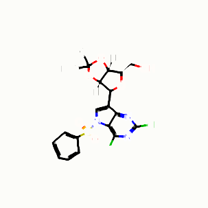 CC1(C)O[C@@H]2[C@@H](CO)OC(c3cn(S(=O)(=O)c4ccccc4)c4c(Cl)nc(Cl)nc34)[C@@H]2O1